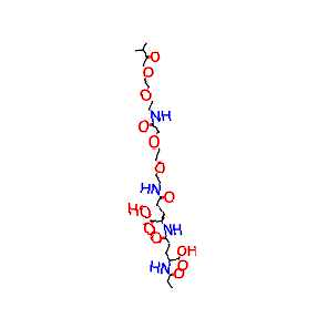 CCC(=O)NC(CCC(=O)NC(CCC(=O)NCCOCCOCC(=O)NCCOCCOCC(=O)C(C)C)C(=O)O)C(=O)O